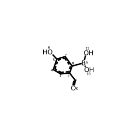 O=Cc1ccc(O)cc1B(O)O